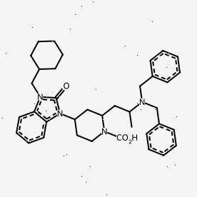 CC(CC1CC(n2c(=O)n(CC3CCCCC3)c3ccccc32)CCN1C(=O)O)N(Cc1ccccc1)Cc1ccccc1